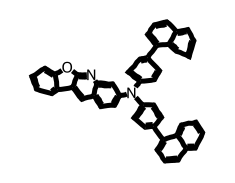 c1ccc2c(-c3ccc(N(c4ccc(-c5cccc6ccccc56)cc4)c4ccc5cc6c(nc5c4)oc4ccccc46)cc3)cccc2c1